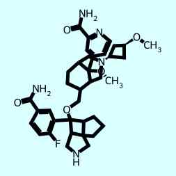 COC1(c2ccnc(C(N)=O)c2)C2CCC(COC3(c4cc(C(N)=O)ccc4F)C4CCCC45CNCC53)C1CN([C@H]1C[C@H](OC)C1)C2